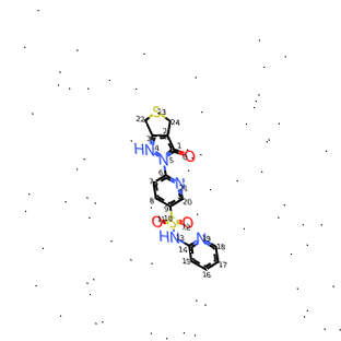 O=c1c2c([nH]n1-c1ccc(S(=O)(=O)Nc3ccccn3)cn1)CSC2